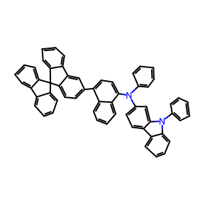 c1ccc(N(c2ccc3c4ccccc4n(-c4ccccc4)c3c2)c2ccc(-c3ccc4c(c3)-c3ccccc3C43c4ccccc4-c4ccccc43)c3ccccc23)cc1